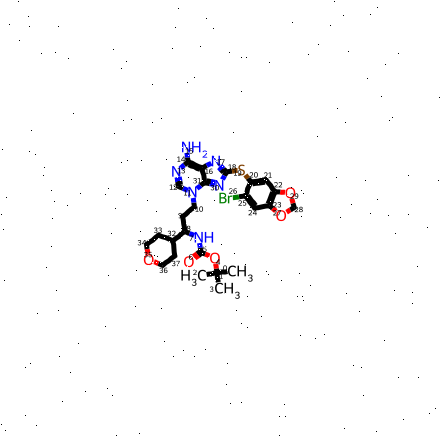 CC(C)(C)OC(=O)NC(CCn1cnc(N)c2nc(Sc3cc4c(cc3Br)OCO4)nc1-2)C1CCOCC1